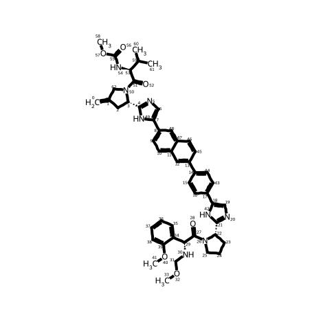 C=C1C[C@@H](c2ncc(-c3ccc4cc(-c5ccc(-c6cnc([C@@H]7CCCN7C(=O)[C@H](NCOC)c7ccccc7OC)[nH]6)cc5)ccc4c3)[nH]2)N(C(=O)[C@@H](NC(=O)OC)C(C)C)C1